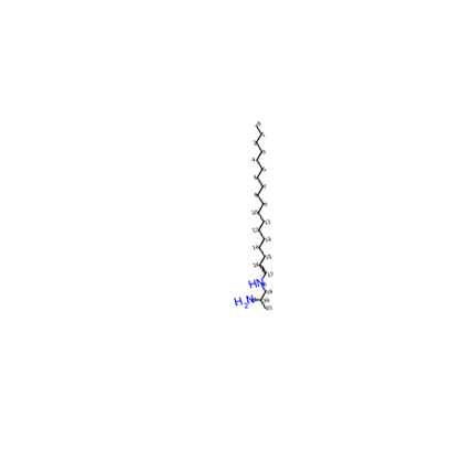 CCCCCCCCCCCCCCCCC=CNCC(C)N